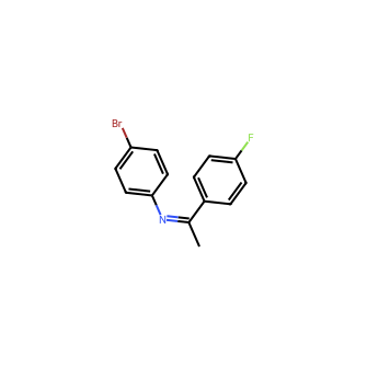 C/C(=N/c1ccc(Br)cc1)c1ccc(F)cc1